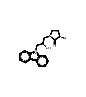 O=C1[C@H](F)CCN1C[C@@H](O)Cn1c2ccccc2c2ccccc21